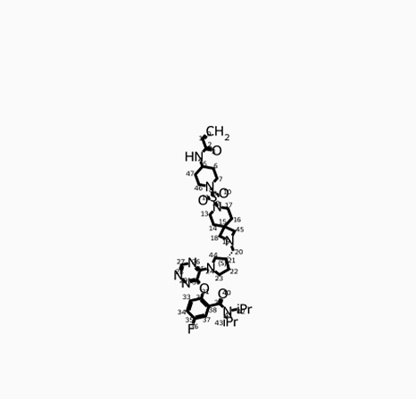 C=CC(=O)NC1CCN(S(=O)(=O)N2CCC3(CC2)CN(C[C@@H]2CCN(c4ncnnc4Oc4ccc(F)cc4C(=O)N(C(C)C)C(C)C)C2)C3)CC1